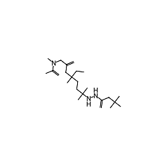 C=C(CN(C)C(=C)C)CC(C)(CC)CCC(C)(C)NNC(=C)CC(C)(C)C